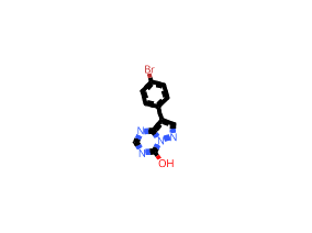 Oc1ncnc2c(-c3ccc(Br)cc3)cnn12